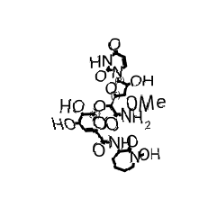 COC1C(O)[C@H](n2ccc(=O)[nH]c2=O)O[C@@H]1C(O[C@H]1OC(C(=O)NC2CCCCN(O)C2=O)=CC(O)C1O)C(N)=O